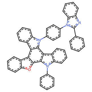 c1ccc(-c2nc3ccccc3n2-c2ccc(-n3c4ccccc4c4c5c6ccccc6oc5c5c(c6ccccc6n5-c5ccccc5)c43)cc2)cc1